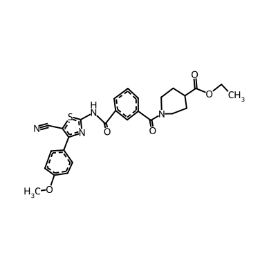 CCOC(=O)C1CCN(C(=O)c2cccc(C(=O)Nc3nc(-c4ccc(OC)cc4)c(C#N)s3)c2)CC1